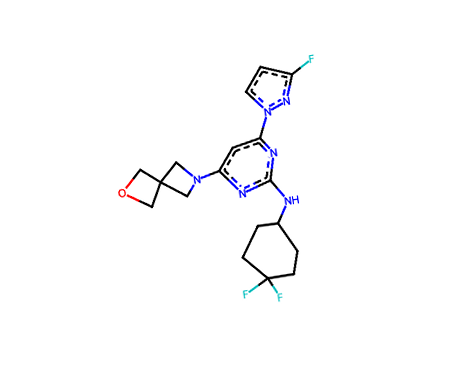 Fc1ccn(-c2cc(N3CC4(COC4)C3)nc(NC3CCC(F)(F)CC3)n2)n1